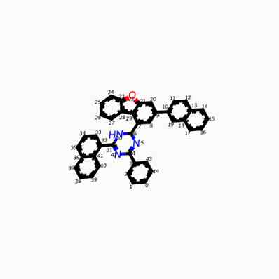 c1ccc(C2=NC(c3cc(-c4ccc5ccccc5c4)cc4oc5ccccc5c34)NC(c3cccc4ccccc34)=N2)cc1